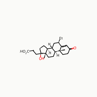 CC[C@@H]1C[C@@H]2[C@H](CC[C@@]3(C)[C@H]2CC[C@@]3(O)CCC(=O)O)[C@@]2(C)CCC(=O)C=C12